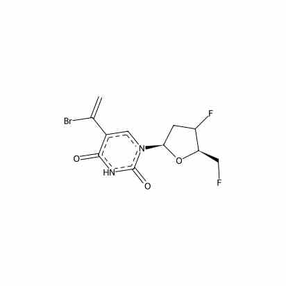 C=C(Br)c1cn([C@H]2CC(F)[C@@H](CF)O2)c(=O)[nH]c1=O